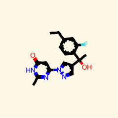 CCc1ccc(C(C)(O)c2cnn(-c3cc(=O)[nH]c(C)n3)c2)c(F)c1